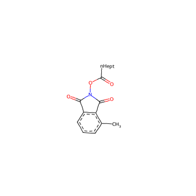 CCCCCCCC(=O)ON1C(=O)c2cccc(C)c2C1=O